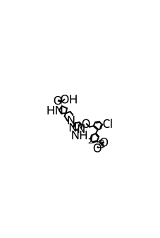 CS(=O)(=O)c1cccc(-c2cc(Cl)ccc2COc2cc(N3CCC4(CC3)CN[C@H](C(=O)O)C4)nc(N)n2)c1